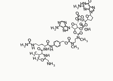 CC(C)C(NC(=O)CN)C(=O)N[C@@H](CCCNC(N)=O)C(=O)Nc1ccc(COC(=O)N(C)CCN(C)C(=O)O[C@@H]2[C@H](O[P@](=O)(O)OC[C@@H]3CC[C@H](n4cnc5c(=O)[nH]c(N)nc54)O3)[C@@H](CO[PH](=O)O)O[C@H]2n2cnc3c(N)ncnc32)cc1